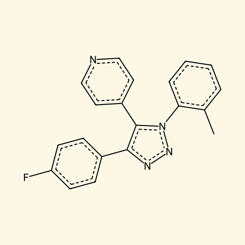 Cc1ccccc1-n1nnc(-c2ccc(F)cc2)c1-c1ccncc1